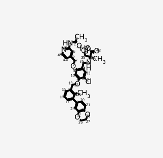 CC(=O)Nc1cc(COc2cc(OCc3cccc(-c4ccc5c(c4)OCCO5)c3C)c(Cl)cc2CN[C@@](C)(CO)C(=O)O)ccn1